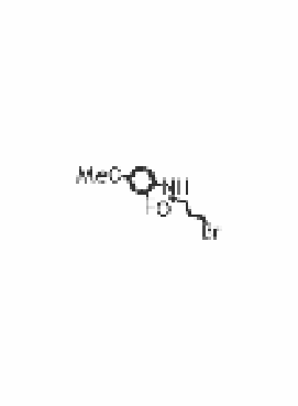 COc1ccc(NC(=O)CCCBr)c(F)c1